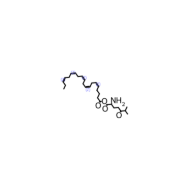 CC/C=C\C/C=C\C/C=C\C/C=C\C/C=C\CCCC(=O)OC(=O)C(N)CCC(=O)C(C)C